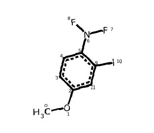 COc1ccc(N(F)F)c(I)c1